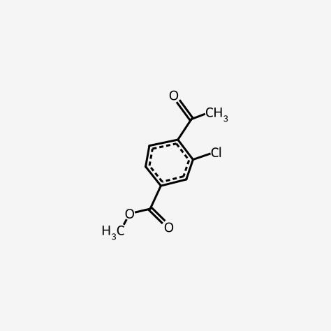 COC(=O)c1ccc(C(C)=O)c(Cl)c1